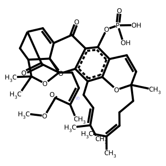 COC(=O)/C(C)=C\CC12OC(C)(C)C3CC(C=C4C(=O)c5c(OP(=O)(O)O)c6c(c(CC=C(C)C)c5OC431)OC(C)(CCC=C(C)C)C=C6)C2=O